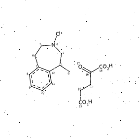 CC1CN(Cl)CCc2ccccc21.O=C(O)CCC(=O)C(=O)O